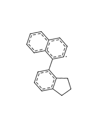 [c]1ccc2ccccc2c1-c1cccc2c1CCC2